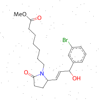 COC(=O)CCCCCCN1C(=O)CCC1C=CC(O)c1cccc(Br)c1